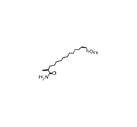 C=C(CCCCCCCCCC/C=C\CCCCCCCC)C(N)=O